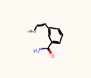 CCCC/C=C\c1cccc(C(N)=O)c1